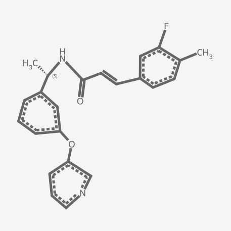 Cc1ccc(C=CC(=O)N[C@@H](C)c2cccc(Oc3cccnc3)c2)cc1F